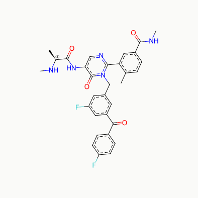 CNC(=O)c1ccc(C)c(-c2ncc(NC(=O)[C@H](C)NC)c(=O)n2Cc2cc(F)cc(C(=O)c3ccc(F)cc3)c2)c1